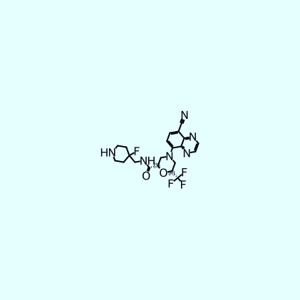 N#Cc1ccc(N2C[C@@H](C(=O)NCC3(F)CCNCC3)O[C@@H](C(F)(F)F)C2)c2nccnc12